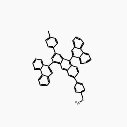 Cc1ccc(-c2cc(-c3cc4ccccc4c4ccccc34)c3cc4cc(-c5ccc(OC(F)(F)F)cc5)ccc4c(-c4cc5ccccc5c5ccccc45)c3c2)cc1